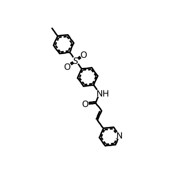 Cc1ccc(S(=O)(=O)c2ccc(NC(=O)/C=C/c3cccnc3)cc2)cc1